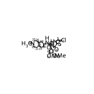 COC1CC(NC(=O)c2ccc(Cl)s2)(OC(=O)NC2=CC=C3CCN(C)CC=C3C2)CC1OC